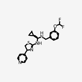 FC(F)Oc1cccc(CNC(NC2=NC(c3ccncc3)CS2)=C2CC2)c1